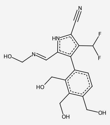 N#Cc1[nH]c(/C=N/CO)c(-c2ccc(CO)c(CO)c2CO)c1C(F)F